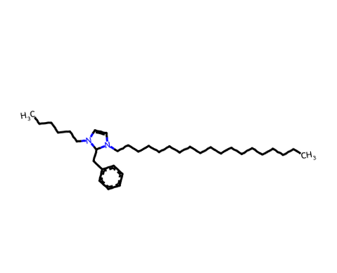 CCCCCCCCCCCCCCCCCCCN1C=CN(CCCCCC)C1Cc1ccccc1